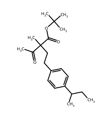 CCC(C)c1ccc(CCC(C)(C(C)=O)C(=O)OC(C)(C)C)cc1